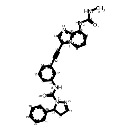 CNC(=O)Nc1cccn2c(C#Cc3cccc(NC(=O)N4N=CCC4c4ccccc4)c3)cnc12